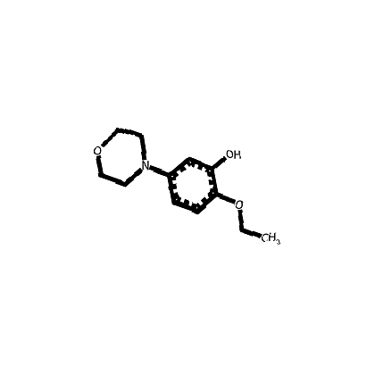 CCOc1ccc(N2CCOCC2)cc1O